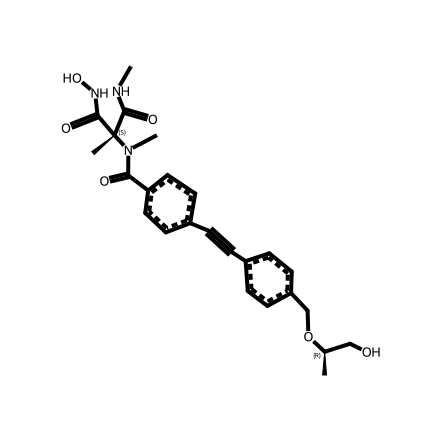 CNC(=O)[C@@](C)(C(=O)NO)N(C)C(=O)c1ccc(C#Cc2ccc(CO[C@H](C)CO)cc2)cc1